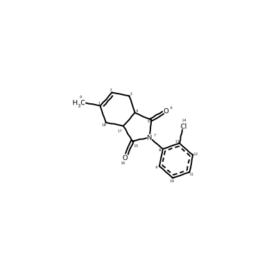 CC1=CCC2C(=O)N(c3ccccc3Cl)C(=O)C2C1